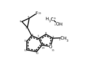 CO.Cc1cc2c(C3CC3F)cccc2o1